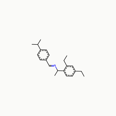 CCc1ccc(C(C)N=Cc2ccc(C(C)C)cc2)c(CC)c1